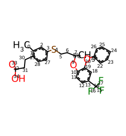 Cc1cc(SCC[C@@H](C)Oc2ccc(C(F)(F)F)cc2Oc2ccccc2)ccc1CCC(=O)O